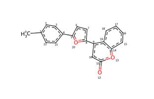 Cc1ccc(-c2ccc(-c3cc(=O)oc4ccccc34)o2)cc1